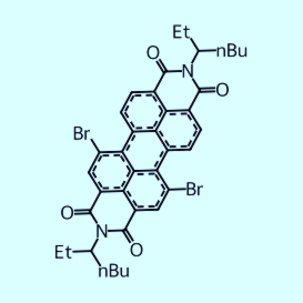 CCCCC(CC)N1C(=O)c2ccc3c4c(Br)cc5c6c(cc(Br)c(c7ccc(c2c37)C1=O)c64)C(=O)N(C(CC)CCCC)C5=O